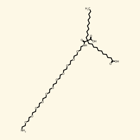 CCCCCCCCCCCC(CCCCCCCCCCC(=O)O)(C(=O)O)C(=O)NCCOCCOCCOCCOCCOCCOCCOCCOCCOCCOCCOCCN